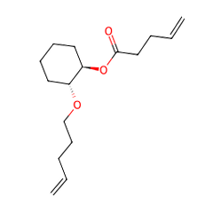 C=CCCCO[C@@H]1CCCC[C@H]1OC(=O)CCC=C